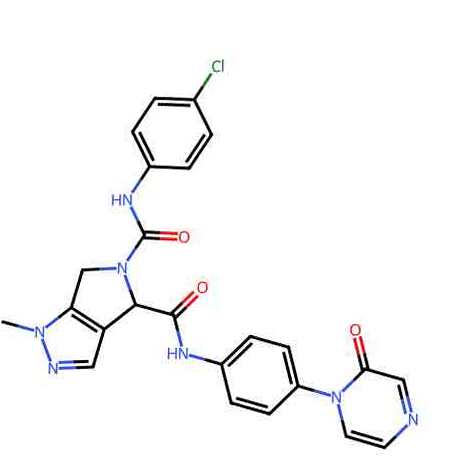 Cn1ncc2c1CN(C(=O)Nc1ccc(Cl)cc1)C2C(=O)Nc1ccc(-n2ccncc2=O)cc1